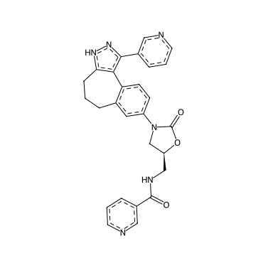 O=C(NC[C@H]1CN(c2ccc3c(c2)CCCc2[nH]nc(-c4cccnc4)c2-3)C(=O)O1)c1cccnc1